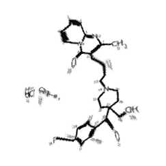 Cc1nc2ccccn2c(=O)c1CCN1CCC(CO)(C(=O)c2ccc(F)cc2)CC1.Cl.Cl.O